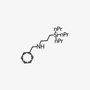 CCC[Si](CCC)(CCC)CCCNCc1ccccc1